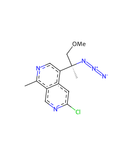 COC[C@@](C)(N=[N+]=[N-])c1cnc(C)c2cnc(Cl)cc12